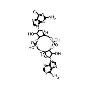 Nc1nc(Cl)c2ncn([C@@H]3O[C@@H]4COP(=O)(O)OC5C(O)[C@H](n6cnc7c(N)ncnc76)O[C@@H]5OCP(=O)(O)OC4C3O)c2n1